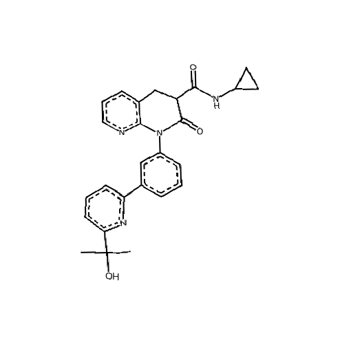 CC(C)(O)c1cccc(-c2cccc(N3C(=O)C(C(=O)NC4CC4)Cc4cccnc43)c2)n1